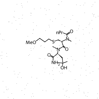 CCCC(=O)N(C)[C@H](CSCCCOC)C(=O)N(C)[C@@H](CC(C)(C)O)C(N)=O